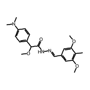 COc1cc(/C=N/NC(=O)C(OC)c2ccc(N(C)C)cc2)cc(OC)c1C